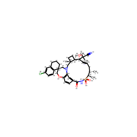 C[C@@H]1[C@@H](C)C/C=C/[C@](O)(C(C)(C)C#N)[C@@H]2CC[C@H]2CN2C[C@@]3(CCCc4cc(Cl)ccc43)COc3ccc(cc32)C(=O)NS1(=O)=O